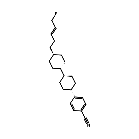 N#Cc1ccc([C@H]2CC[C@H]([C@H]3CC[C@H](CCC=CCF)CC3)CC2)cc1